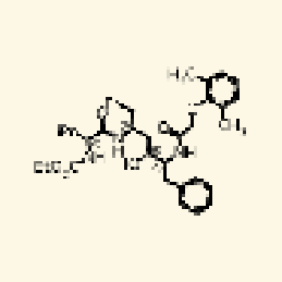 CCOC(=O)N[C@H](C(=O)N[C@@H](CC(C)C)C[C@H](O)[C@H](Cc1ccccc1)NC(=O)COc1c(C)cccc1C)C(C)C